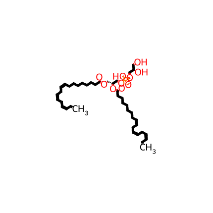 CC/C=C\C/C=C\C/C=C\CCCCCCCC(=O)OC[C@H](COP(=O)(O)OC[C@@H](O)CO)OC(=O)CCCCCCC/C=C\C/C=C\C/C=C\CC